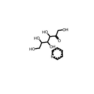 O=C(CO)C(O)C(O)C(O)CO.c1ccncc1